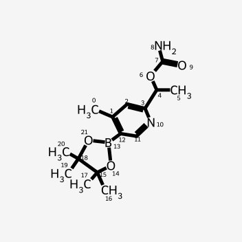 Cc1cc(C(C)OC(N)=O)ncc1B1OC(C)(C)C(C)(C)O1